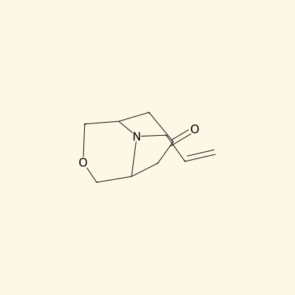 C=CCN1C2COCC1CC(=O)C2